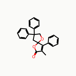 CC1=C(c2ccccc2)C2(CC(c3ccccc3)(c3ccccc3)CO2)OC1=O